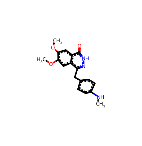 CNc1ccc(Cc2n[nH]c(=O)c3cc(OC)c(OC)cc23)cc1